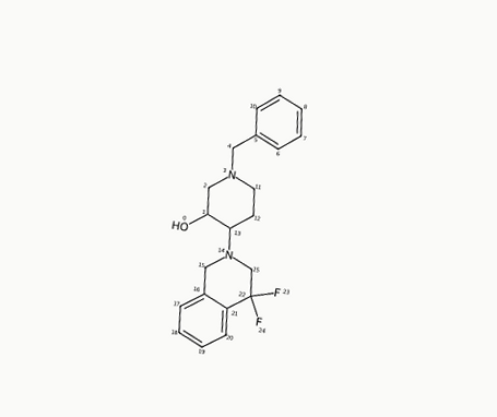 OC1CN(Cc2ccccc2)CCC1N1Cc2ccccc2C(F)(F)C1